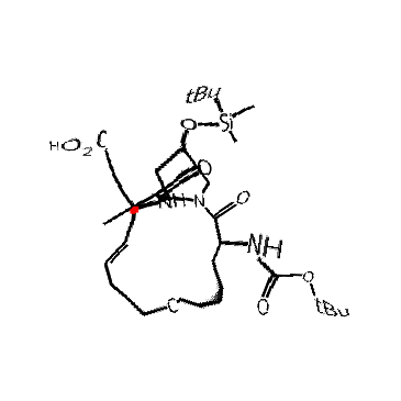 CC(C)(C)OC(=O)NC1CCCCC/C=C/C2CC(C(=O)O)NC(=O)C23CC(O[Si](C)(C)C(C)(C)C)CN3C1=O